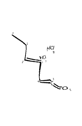 CCC=CC=C=O.Cl.Cl